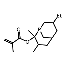 C=C(C)C(=O)OC1(C)C(C)CC2CC(CC)CP1C2